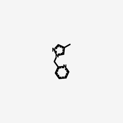 Cc1cnn(Cc2ccccn2)c1